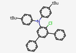 CC(C)(C)c1ccc(N(c2ccc(C(C)(C)C)cc2)c2cc(-c3ccccc3)cc(-c3ccccc3)c2Cl)cc1